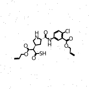 C=CCOC(=O)c1cc(NC(=O)[C@@H]2C[C@@H](C(C(=O)S)C(=O)OCC=C)CN2)ccc1Cl